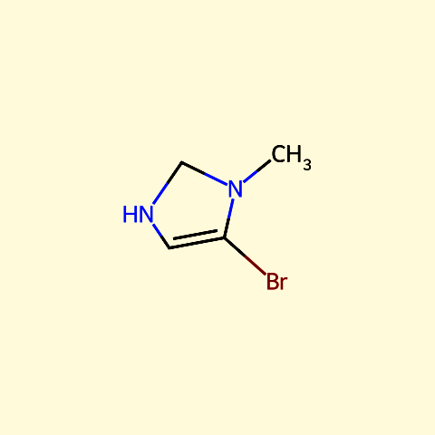 CN1CNC=C1Br